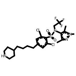 Cc1nn(C)c(C)c1N(CC(F)(F)F)S(=O)(=O)c1c(Cl)cc(CCCCC2CCNCC2)cc1Cl